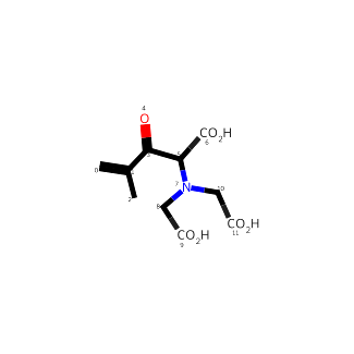 C=C(C)C(=O)C(C(=O)O)N(CC(=O)O)CC(=O)O